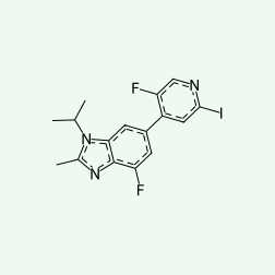 Cc1nc2c(F)cc(-c3cc(I)ncc3F)cc2n1C(C)C